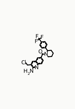 Nc1nc2ccc(C(=O)N3CCCCC3c3ccc(C(F)(F)F)cc3)cc2cc1CCl